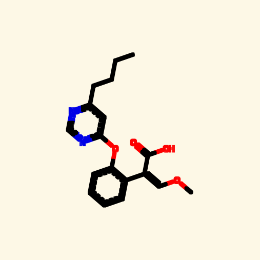 CCCCc1cc(Oc2ccccc2C(=COC)C(=O)O)ncn1